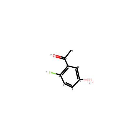 Bc1ccc(F)c(C(C)=O)c1